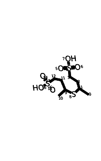 CC(CCS(=O)(=O)O)SC(C)CCS(=O)(=O)O